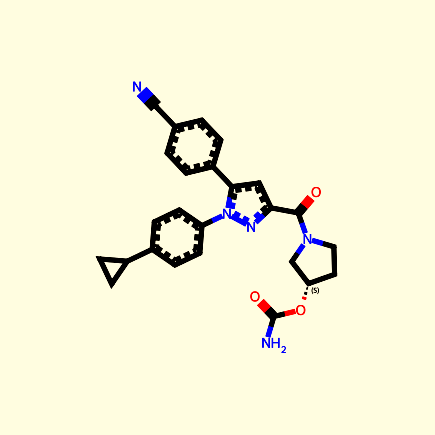 N#Cc1ccc(-c2cc(C(=O)N3CC[C@H](OC(N)=O)C3)nn2-c2ccc(C3CC3)cc2)cc1